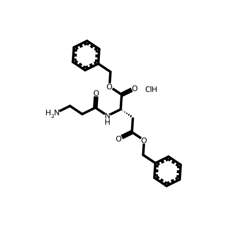 Cl.NCCC(=O)N[C@@H](CC(=O)OCc1ccccc1)C(=O)OCc1ccccc1